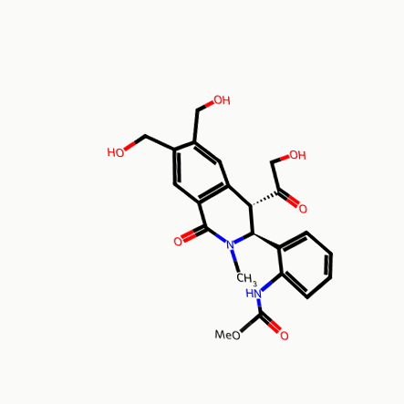 COC(=O)Nc1ccccc1[C@@H]1[C@@H](C(=O)CO)c2cc(CO)c(CO)cc2C(=O)N1C